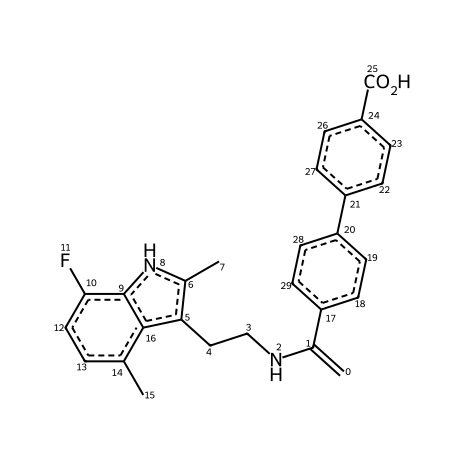 C=C(NCCc1c(C)[nH]c2c(F)ccc(C)c12)c1ccc(-c2ccc(C(=O)O)cc2)cc1